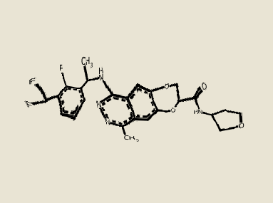 Cc1nnc(NC(C)c2cccc(C(F)F)c2F)c2cc3c(cc12)OC(C(=O)NC1CCOC1)CO3